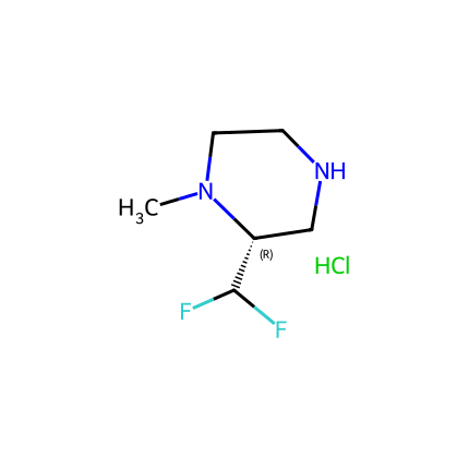 CN1CCNC[C@@H]1C(F)F.Cl